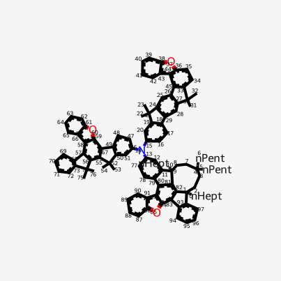 CCCCCCCC12CCC(CCCCC)(CCCCC)CCC3(CCCCCCC)c4cc(N(c5ccc6c(c5)C(C)(C)c5cc7c(cc5-6)C(C)(C)c5ccc6oc8ccccc8c6c5-7)c5ccc6c(c5)C(C)(C)c5c7c(c8c(oc9ccccc98)c5-6)-c5ccccc5C7(C)C)ccc4-c4c3c1c(c1oc3ccccc3c41)-c1ccccc12